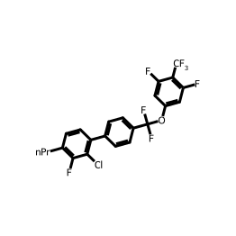 CCCc1ccc(-c2ccc(C(F)(F)Oc3cc(F)c(C(F)(F)F)c(F)c3)cc2)c(Cl)c1F